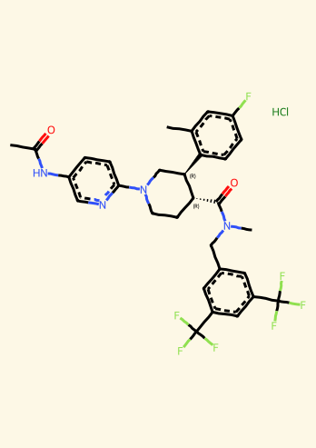 CC(=O)Nc1ccc(N2CC[C@@H](C(=O)N(C)Cc3cc(C(F)(F)F)cc(C(F)(F)F)c3)[C@H](c3ccc(F)cc3C)C2)nc1.Cl